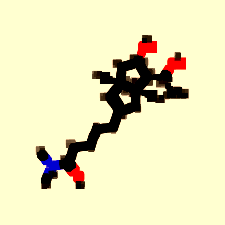 CCCC[C@@H](O)[C@@H]1[C@H]2CC(CCCCC(=O)N(C)C)=C[C@H]2C[C@H]1O